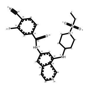 CCS(=O)(=O)N1CCC(Nc2cc(NC(=O)c3ccc(C#N)c(F)c3)cc3ccncc23)CC1